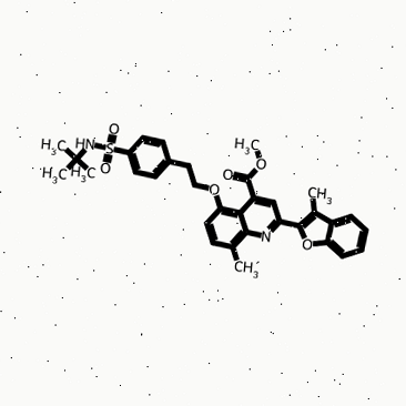 COC(=O)c1cc(-c2oc3ccccc3c2C)nc2c(C)ccc(OCCc3ccc(S(=O)(=O)NC(C)(C)C)cc3)c12